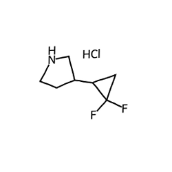 Cl.FC1(F)CC1C1CCNC1